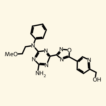 COCCN(c1ccccc1)c1nc(N)nc(-c2noc(-c3ccc(CO)nc3)n2)n1